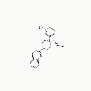 NCC1(c2cccc(Cl)c2)CCC(N2CCc3ccccc3C2)CC1